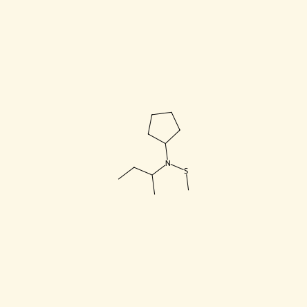 CCC(C)N(SC)C1CCCC1